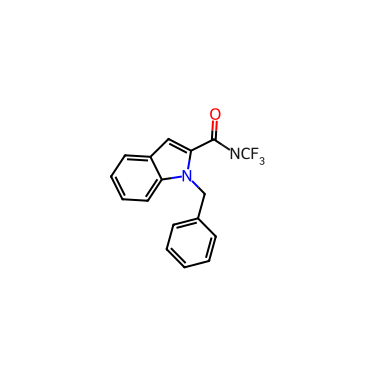 O=C(NC(F)(F)F)c1cc2ccccc2n1Cc1ccccc1